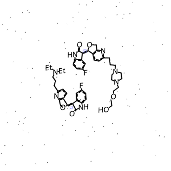 CCN(CC)CCCc1ccc2c(n1)CO/C2=C1\C(=O)Nc2ccc(F)cc21.O=C1Nc2ccc(F)cc2/C1=C1/OCc2nc(CCCN3CCN(CCOCCO)CC3)ccc21